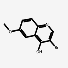 COc1ccc2ncc(Br)c(O)c2c1